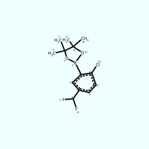 CC1(C)OB(c2cc(C(F)F)ccc2Cl)OC1(C)C